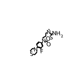 CN(CC1CN(c2ccc(N3CCSCC3)c(F)c2)C(=O)O1)C(N)=S